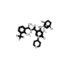 Cc1c([C@@H](C)NC(=O)c2cn(C3CCOCC3)c(=O)cc2N[C@H]2C[C@H]3CC[C@@H]2N3C)cccc1C(F)(F)F